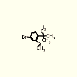 COc1cc(Br)ccc1C(C)(C)C